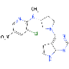 CN(c1ncc([N+](=O)[O-])cc1Cl)[C@@H]1CCN(c2ncnc3[nH]ccc23)C1